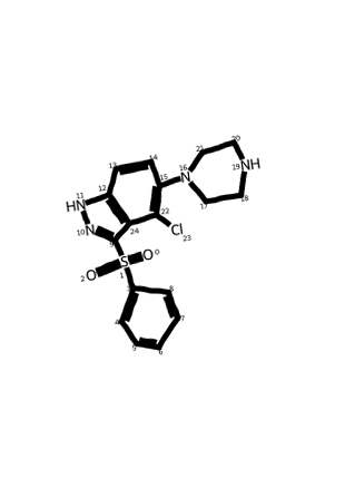 O=S(=O)(c1ccccc1)c1n[nH]c2ccc(N3CCNCC3)c(Cl)c12